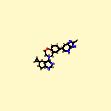 Cc1nc2cc(-c3ccc4c(c3)CN(c3ncnc5c3CC3(CC5)CC3)CCO4)cnc2[nH]1